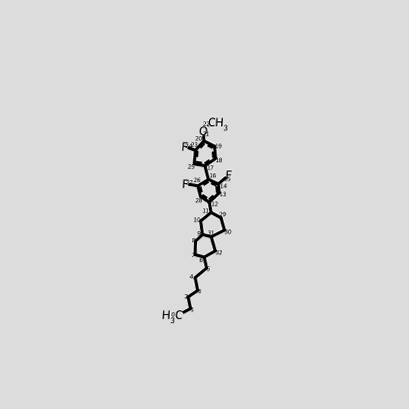 CCCCCCC1CCC2CC(c3cc(F)c(-c4ccc(OC)c(F)c4)c(F)c3)CCC2C1